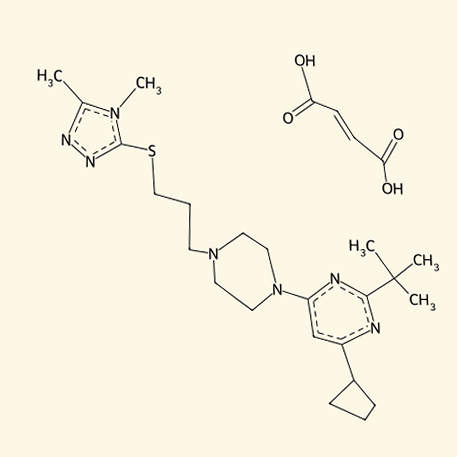 Cc1nnc(SCCCN2CCN(c3cc(C4CCC4)nc(C(C)(C)C)n3)CC2)n1C.O=C(O)/C=C/C(=O)O